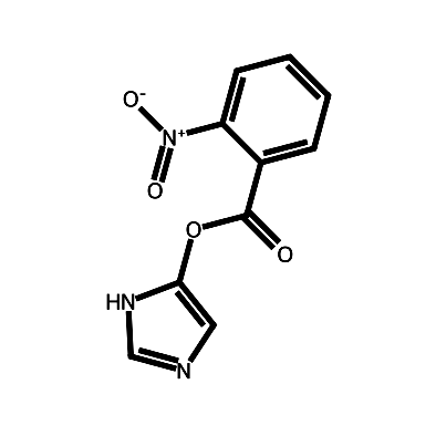 O=C(Oc1cnc[nH]1)c1ccccc1[N+](=O)[O-]